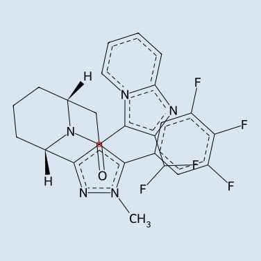 Cn1nc2c(c1-c1cc(F)c(F)c(F)c1)C[C@H]1CCC[C@@H]2N1C(=O)c1c(C(F)F)nc2ccccn12